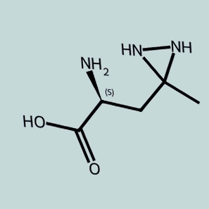 CC1(C[C@H](N)C(=O)O)NN1